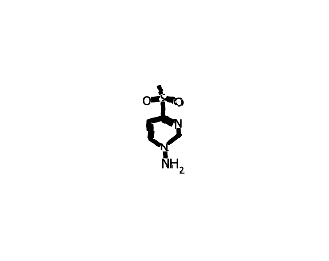 CS(=O)(=O)C1=NCN(N)C=C1